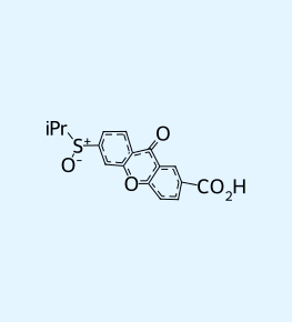 CC(C)[S+]([O-])c1ccc2c(=O)c3cc(C(=O)O)ccc3oc2c1